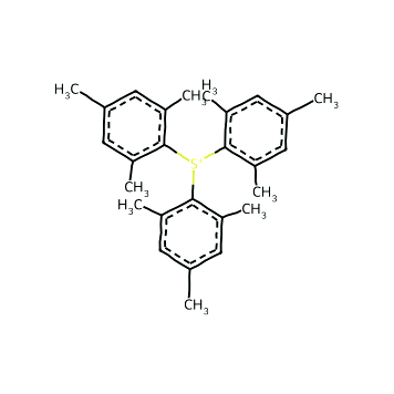 Cc1cc(C)c([S+](c2c(C)cc(C)cc2C)c2c(C)cc(C)cc2C)c(C)c1